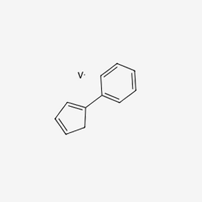 C1=CCC(c2ccccc2)=C1.[V]